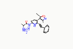 Cc1noc(C)c1-c1ccc(NC(=O)C(C)N)nc1C#Cc1ccccc1